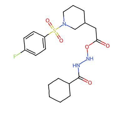 O=C(CC1CCCN(S(=O)(=O)c2ccc(F)cc2)C1)ONNC(=O)C1CCCCC1